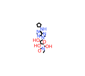 CCN(C=O)C(O)[C@H]1O[C@@H](n2cnc3c(NC4CCCC4)ncnc32)[C@H](O)[C@@H]1O